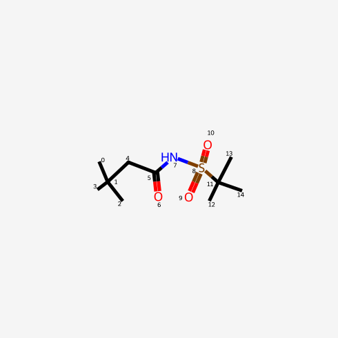 CC(C)(C)CC(=O)NS(=O)(=O)C(C)(C)C